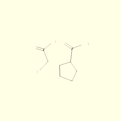 O=C(O)C1CCCC1.O=C(O)CF